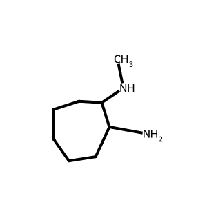 CNC1CCCCCC1N